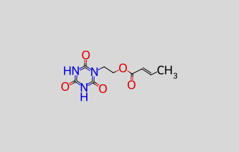 CC=CC(=O)OCCn1c(=O)[nH]c(=O)[nH]c1=O